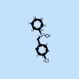 [O-][S@+](Cc1ccc(Cl)cc1)c1ccccc1